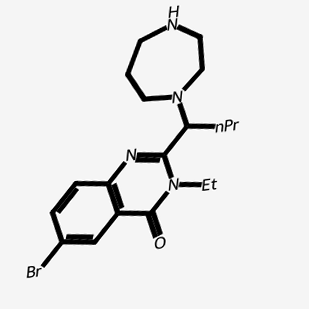 CCCC(c1nc2ccc(Br)cc2c(=O)n1CC)N1CCCNCC1